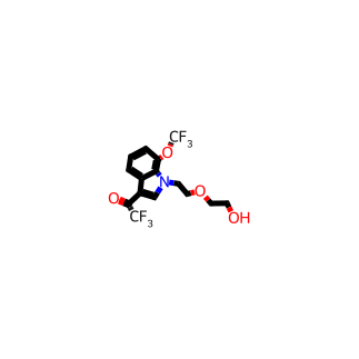 O=C(c1cn(CCOCCO)c2c(OC(F)(F)F)cccc12)C(F)(F)F